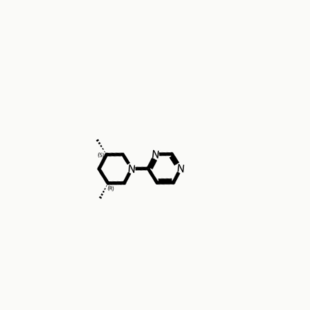 C[C@@H]1C[C@H](C)CN(c2ccncn2)C1